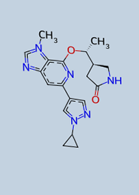 C[C@@H](Oc1nc(-c2cnn(C3CC3)c2)cc2ncn(C)c12)[C@H]1CNC(=O)C1